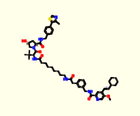 COc1cnc(C(=O)NCc2cccc(CC(=O)NCCCCCCCCC(=O)NC(C(=O)N3C[C@H](O)C[C@H]3C(=O)NCc3ccc(-c4scnc4C)cc3)C(C)(C)C)c2)cc1/C=C/C1CCCCC1